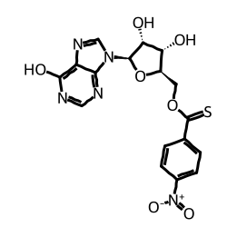 O=[N+]([O-])c1ccc(C(=S)OC[C@H]2O[C@@H](n3cnc4c(O)ncnc43)[C@H](O)[C@@H]2O)cc1